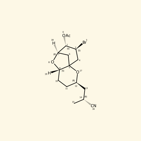 CC(=O)O[C@@H]1[C@@H](Br)CC23C[C@H]1O[C@H]2CC[C@H](C[C@@H](C)C#N)O3